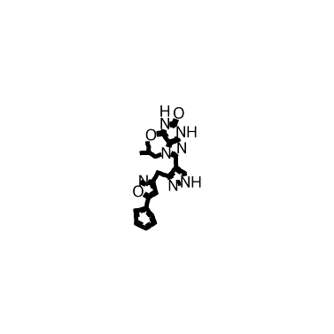 CC(C)Cn1c(-c2c[nH]nc2Cc2cc(-c3ccccc3)on2)nc2[nH]c(=O)[nH]c(=O)c21